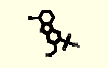 CC(C)[C@H]1CCCn2c1nc1cc(CO)c(S(C)(=O)=O)cc12